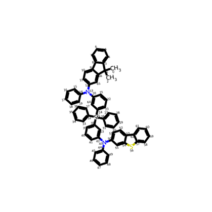 CC1(C)c2ccccc2-c2ccc(N(c3ccccc3)c3cccc([Si](c4ccccc4)(c4ccccc4)c4cccc(N(c5ccccc5)c5ccc6c(c5)sc5ccccc56)c4)c3)cc21